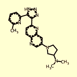 Cc1cccc(-c2[nH]nnc2-c2ccc3ncc(N4CCC(N(C)C)C4)cc3n2)n1